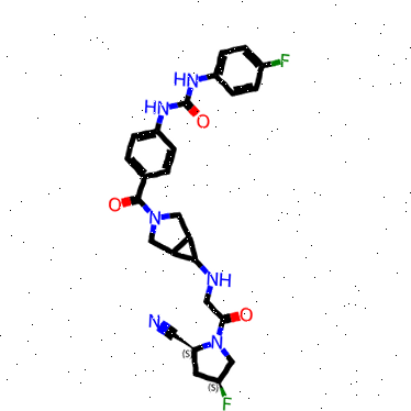 N#C[C@@H]1C[C@H](F)CN1C(=O)CNC1C2CN(C(=O)c3ccc(NC(=O)Nc4ccc(F)cc4)cc3)CC21